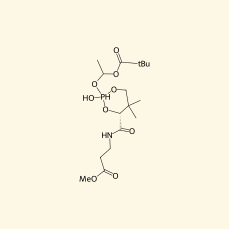 COC(=O)CCNC(=O)[C@@H]1O[PH](O)(OC(C)OC(=O)C(C)(C)C)OCC1(C)C